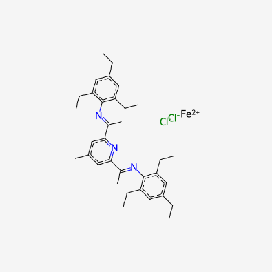 CCc1cc(CC)c(N=C(C)c2cc(C)cc(C(C)=Nc3c(CC)cc(CC)cc3CC)n2)c(CC)c1.[Cl-].[Cl-].[Fe+2]